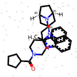 Cc1nc2ccccc2n1[C@H]1C[C@H]2CC[C@@H](C1)N2CCC1(c2ccccc2)CCN(C(=O)C2CCCC2)CC1